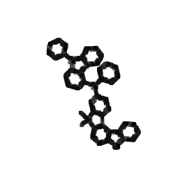 C[Si]1(C)c2cc(N(c3ccccc3)c3cccc4c3c3ccccc3n4-c3ccccc3)ccc2-c2c1ccc1oc3ccccc3c21